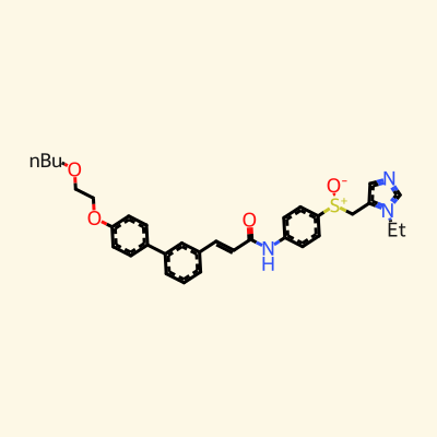 CCCCOCCOc1ccc(-c2cccc(/C=C/C(=O)Nc3ccc([S@+]([O-])Cc4cncn4CC)cc3)c2)cc1